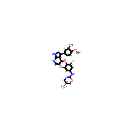 CC(C)Oc1ccc(-c2c[nH]c3nccc(Oc4c(F)cc(NC5=NC[C@@H](C(F)(F)F)CO5)cc4F)c23)cc1C#N